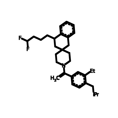 C=C(c1ccc(CC(C)C)c(CC)c1)N1CCC2(CC1)Cc1ccccc1C(CCCC(F)F)C2